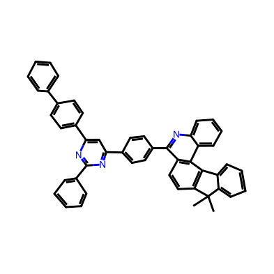 CC1(C)c2ccccc2-c2c1ccc1c(-c3ccc(-c4cc(-c5ccc(-c6ccccc6)cc5)nc(-c5ccccc5)n4)cc3)nc3ccccc3c21